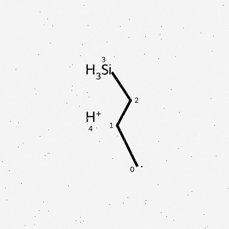 [CH2]CC[SiH3].[H+]